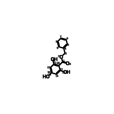 O=C(OCc1ccccc1)c1c(O)cc(O)cc1O